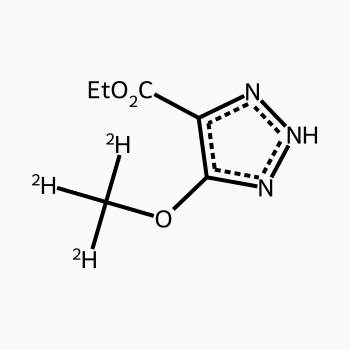 [2H]C([2H])([2H])Oc1n[nH]nc1C(=O)OCC